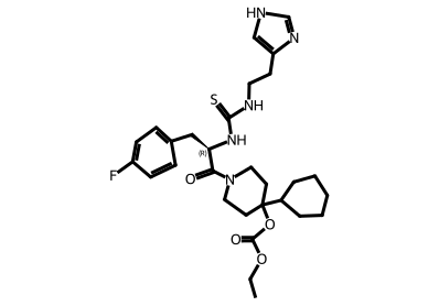 CCOC(=O)OC1(C2CCCCC2)CCN(C(=O)[C@@H](Cc2ccc(F)cc2)NC(=S)NCCc2c[nH]cn2)CC1